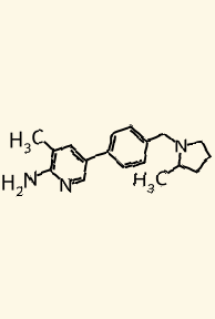 Cc1cc(-c2ccc(CN3CCCC3C)cc2)cnc1N